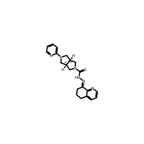 S=C(N/N=C1\CCCc2cccnc21)N1C[C@@H]2CN(c3ccccn3)C[C@@H]2C1